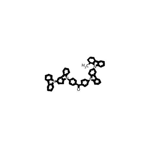 CC1CC=Cc2c1n(-c1ccc3c(c1)c1ccccc1n3-c1ccc(C(=O)c3ccc(-n4c5ccccc5c5cc(-n6c7ccccc7c7ccccc76)ccc54)cc3)cc1)c1ccccc21